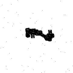 O=C1CCC(N2Cc3c(OCCCCCCCC(=O)N4CCC5(CC4)CCN(c4cncc(Nc6ncc(Cl)c(-c7cccc(-c8ccccc8)c7)n6)c4)C5=O)cccc3C2=O)C(=O)N1